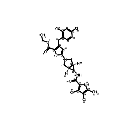 CCOC(=O)c1sc(N2C[C@@H]3[C@H](C2)[C@@H]3NC(=O)c2[nH]c(C)c(Cl)c2Cl)nc1Cc1ccc(Cl)cc1Cl